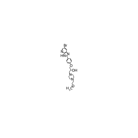 COCCN1CCN(CC(O)COc2ccc(-c3nc4cc(Br)cnc4[nH]3)cc2)CC1